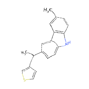 Cc1ccc2[nH]c3ccc(C(C)c4ccsc4)cc3c2c1